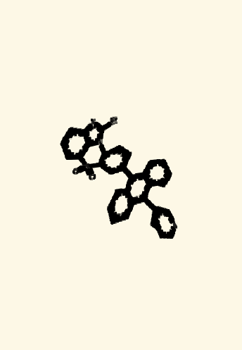 CCc1nc2cccc3c2n1-c1ccc(-c2c4ccccc4c(-c4cccnc4)c4ccccc24)cc1S3(=O)=O